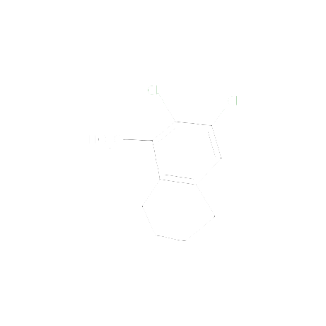 O=C(O)c1c(Cl)c(Cl)cc2c1CCCC2